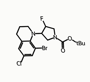 CC(C)(C)OC(=O)N1CC(F)C(N2CCCc3cc(Cl)cc(Br)c32)C1